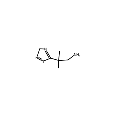 CC(C)(CN)C1=NCN=N1